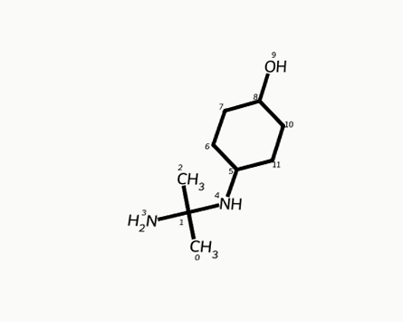 CC(C)(N)NC1CCC(O)CC1